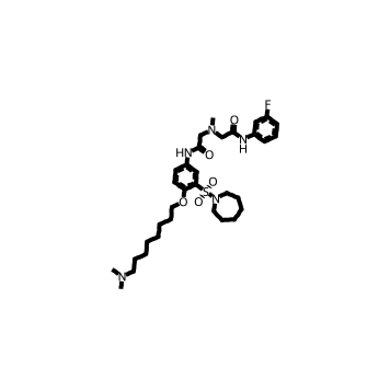 CN(C)CCCCCCCCOc1ccc(NC(=O)CN(C)CC(=O)Nc2cccc(F)c2)cc1S(=O)(=O)N1CCCCCC1